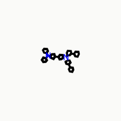 C1=CCCC(C2=CCC(N(c3ccc(-c4ccc(N(C5=CC=CCC5)c5ccccc5)cc4)cc3)C3C=C(C4=CCCC=C4)CCC3)C=C2)=C1